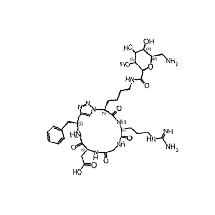 N=C(N)NCCC[C@@H]1NC(=O)[C@H](CCCCNC(=O)C2O[C@H](CN)[C@H](O)C(O)[C@@H]2O)n2cc(nn2)[C@H](Cc2ccccc2)NC(=O)[C@H](CC(=O)O)NC(=O)CNC1=O